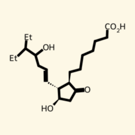 CCC(CC)C(O)CC=C[C@H]1[C@H](O)CC(=O)[C@@H]1CCCCCCC(=O)O